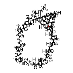 CN(C)CCCCC(=O)CCCC(=O)c1cc(CC(=O)c2cc(CC(=O)CCCC(=O)c3nc(CC(=O)c4nc(CC(=O)CCCNC(=O)c5cc(NC(=O)c6cc(NC(=O)CCNC(=O)c7cc(NC(=O)c8cc(NC(=O)CCNC(=S)Nc9ccc(-c%10c%11ccc(=O)cc-%11oc%11cc(O)ccc%10%11)c(C(=O)O)c9)cn8C)cn7C)cn6C)cn5C)cn4C)cn3C)cn2C)cn1C